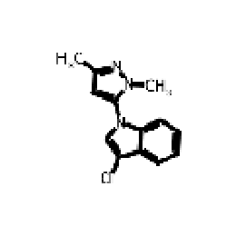 Cc1[c]c(-n2cc(Cl)c3ccccc32)n(C)n1